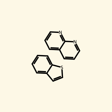 c1ccc2sccc2c1.c1cnc2ncccc2c1